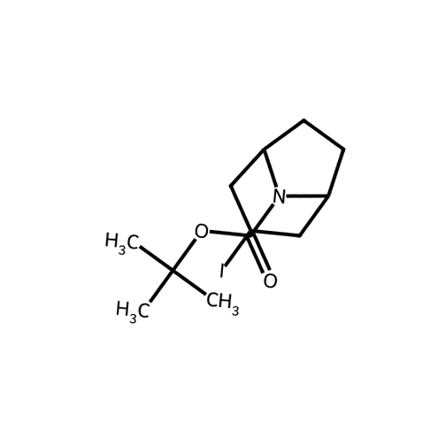 CC(C)(C)OC(=O)N1C2CCC1CC(I)C2